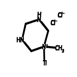 C[N+]1([Ti])CNCNC1.[Cl-].[Cl-]